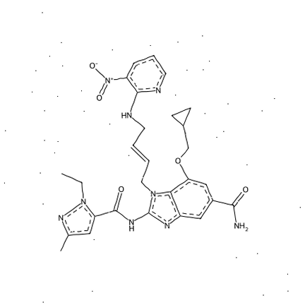 CCn1nc(C)cc1C(=O)Nc1nc2cc(C(N)=O)cc(OCC3CC3)c2n1CC=CCNc1ncccc1[N+](=O)[O-]